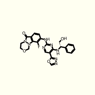 O=c1c2ccc(Nc3ncc(-c4nnco4)c(N[C@H](CO)c4ccccc4)n3)c(F)c2n2n1CCOC2